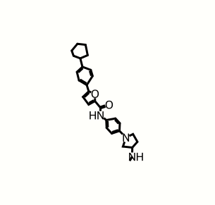 CNC1CCN(c2ccc(NC(=O)c3ccc(-c4ccc(C5CCCCC5)cc4)o3)cc2)C1